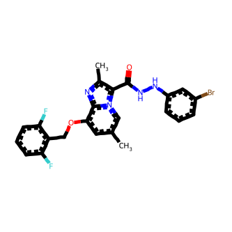 Cc1cc(OCc2c(F)cccc2F)c2nc(C)c(C(=O)NNc3cccc(Br)c3)n2c1